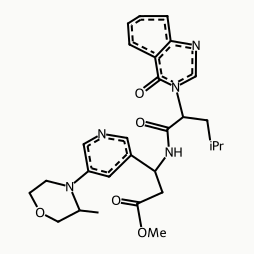 COC(=O)CC(NC(=O)C(CC(C)C)n1cnc2ccccc2c1=O)c1cncc(N2CCOCC2C)c1